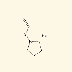 S=CSN1CCCC1.[Na]